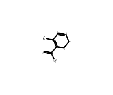 C=C(Br)C1=C(Br)C=CCC1